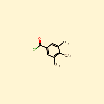 CC(=O)Oc1c(C)cc(C(=O)Cl)cc1C